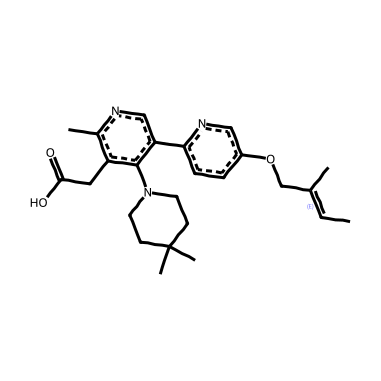 C/C=C(\C)COc1ccc(-c2cnc(C)c(CC(=O)O)c2N2CCC(C)(C)CC2)nc1